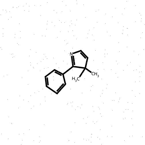 CC1(C)C=CN=C1c1ccccc1